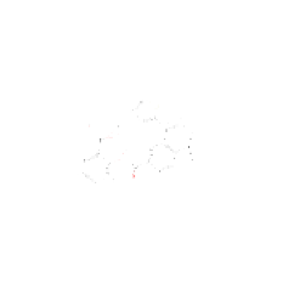 CC1(C)CC=C(c2cccs2)c2cc(C(=O)Oc3ccccc3C(=O)O)ccc21